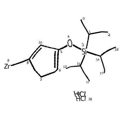 CC(C)[Si](OC1=CC[C]([Zr])=C1)(C(C)C)C(C)C.Cl.Cl